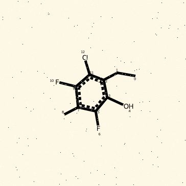 CCc1c(O)c(F)c(C)c(F)c1Cl